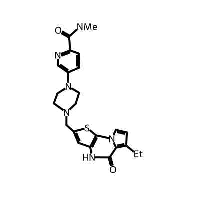 CCc1ccn2c1c(=O)[nH]c1cc(CN3CCN(c4ccc(C(=O)NC)nc4)CC3)sc12